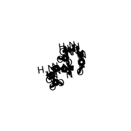 COCCN1CCC(n2cc(-c3cnc(N)c(-c4cn(C)c(=O)c(-c5cc(OC)cc(OCC6CCC6(C#N)c6ccc(-c7cnc(N)c(-c8cn(C)c(=O)c(-c9cc(OC)cc(OC)c9)n8)n7)cn6)c5)n4)n3)c(C)n2)CC1